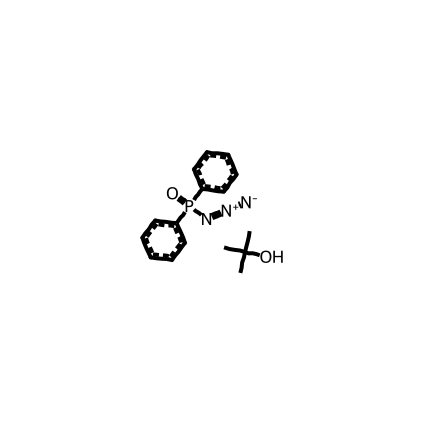 CC(C)(C)O.[N-]=[N+]=NP(=O)(c1ccccc1)c1ccccc1